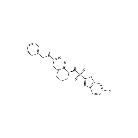 CN(Cc1ccccc1)C(=O)CN1CCC[C@H](NS(=O)(=O)c2cc3ccc(Cl)cc3s2)C1=O